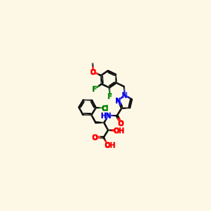 COc1ccc(Cn2ccc(C(=O)N[C@H](Cc3ccccc3Cl)[C@@H](O)C(=O)O)n2)c(F)c1F